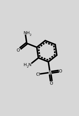 NC(=O)c1cccc(S(=O)(=O)Cl)c1N